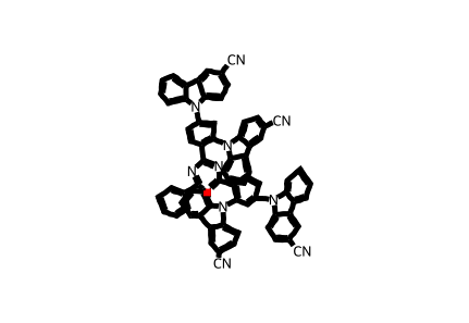 N#Cc1ccc2c(c1)c1ccccc1n2-c1ccc(-c2nc(-c3ccccc3)nc(-c3ccc(-n4c5ccccc5c5cc(C#N)ccc54)cc3-n3c4ccccc4c4cc(C#N)ccc43)n2)c(-n2c3ccccc3c3cc(C#N)ccc32)c1